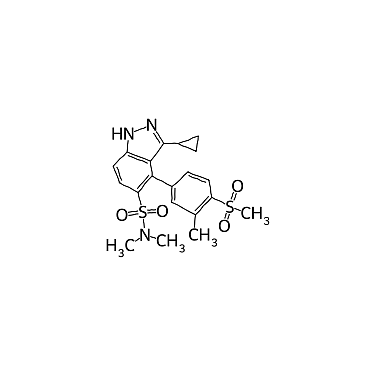 Cc1cc(-c2c(S(=O)(=O)N(C)C)ccc3[nH]nc(C4CC4)c23)ccc1S(C)(=O)=O